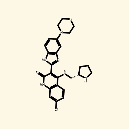 O=c1[nH]c2cc(Cl)ccc2c(NC[C@@H]2CCCN2)c1-c1nc2cc(N3CCOCC3)ccc2[nH]1